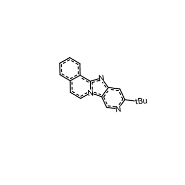 CC(C)(C)c1cc2nc3c4ccccc4ccn3c2cn1